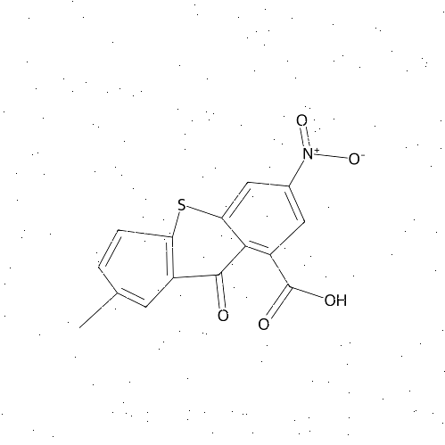 Cc1ccc2sc3cc([N+](=O)[O-])cc(C(=O)O)c3c(=O)c2c1